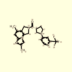 Cc1cn2c3c(c(C)cc2n1)CN(C(=O)[C@@H]1CCN(c2ccnc(C(F)(F)F)c2)C1)C3